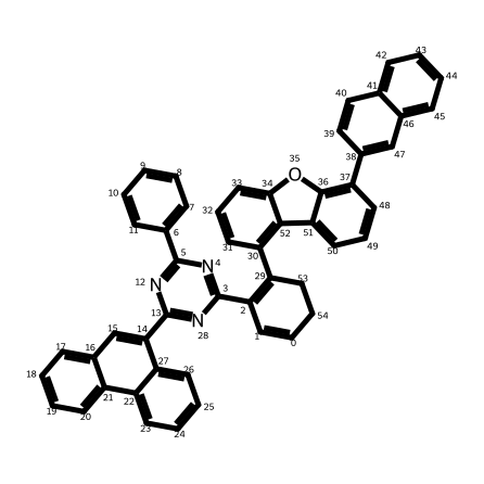 C1=CC(c2nc(-c3ccccc3)nc(-c3cc4ccccc4c4ccccc34)n2)=C(c2cccc3oc4c(-c5ccc6ccccc6c5)cccc4c23)CC1